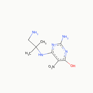 CC(C)(CN)Nc1nc(N)nc(O)c1[N+](=O)[O-]